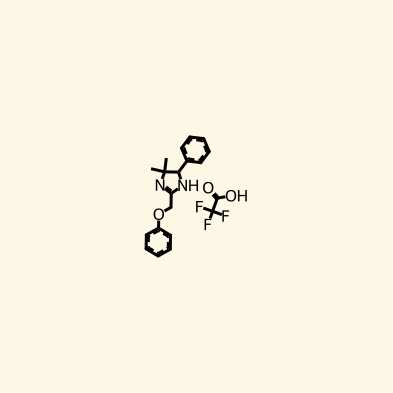 CC1(C)N=C(COc2ccccc2)NC1c1ccccc1.O=C(O)C(F)(F)F